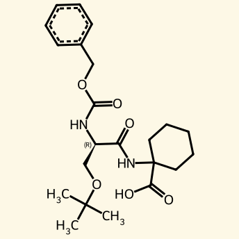 CC(C)(C)OC[C@@H](NC(=O)OCc1ccccc1)C(=O)NC1(C(=O)O)CCCCC1